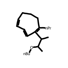 CCCCOC(C)C(C)C1=C(/CCC)CCC\C=C/C=C/1